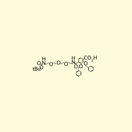 CC(C)(C)OC(=O)NCCOCCOCCOCCNC(=O)c1ccc(C(=O)O)c(OCc2ccccc2)c1OCc1ccccc1